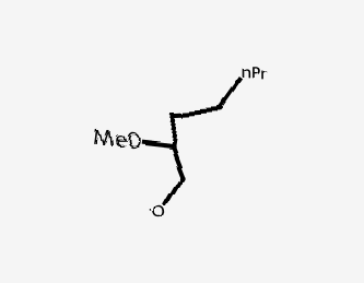 CCCCCC(C[O])OC